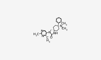 Cc1ncc(N2C[C@]3(CC[C@@](c4ccccc4)(N(C)C)CC3)NC2=O)c(C)n1